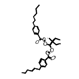 [CH2]C(CC)(CC)[C](OOC(=O)c1ccc(CCCCCC)cc1)OOC(=O)c1ccc(CCCCCC)cc1